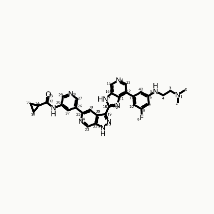 CN(C)CCNc1cc(F)cc(-c2cncc3[nH]c(-c4n[nH]c5cnc(-c6cncc(NC(=O)C7CC7)c6)cc45)nc23)c1